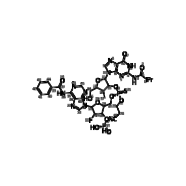 CC(C)C(=O)Nc1nc2c(ncn2C2OC(CO)C(C)C2OP(=S)(OCCC#N)OCC2OC(n3cnc4c(NC(=O)c5ccccc5)ncnc43)C(F)C2O[PH](=O)O)c(=O)[nH]1